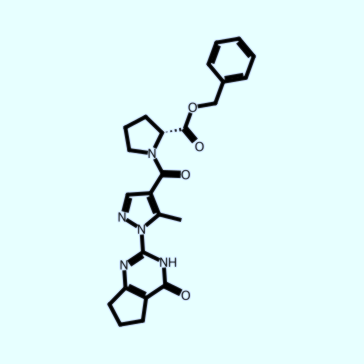 Cc1c(C(=O)N2CCC[C@@H]2C(=O)OCc2ccccc2)cnn1-c1nc2c(c(=O)[nH]1)CCC2